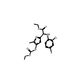 CCOC(=O)Oc1cc(C(Nc2ccc(F)cc2Cl)C(=O)OCC)oc1C